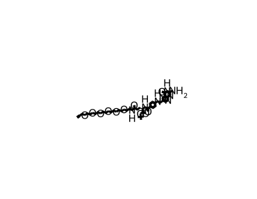 C#CCOCCOCCOCCOCCOCCOCCNC(=O)CC[C@@H](NC(=O)c1ccc(NCc2cnc3nc(N)[nH]c(=O)c3n2)cc1)C(=O)OC(C)(C)C